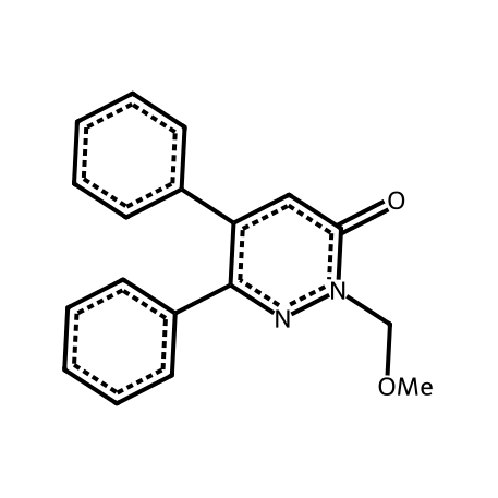 COCn1nc(-c2ccccc2)c(-c2ccccc2)cc1=O